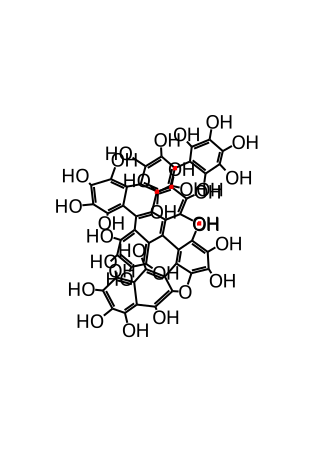 Oc1c(O)c(O)c(-c2c(O)c(O)c(-c3c(O)c(O)c(O)c(O)c3-c3c4c(O)c(O)c(O)c(O)c4c(-c4c(O)c(O)c(O)c5oc6c(O)c7c(O)c(O)c(O)c(O)c7c(O)c6c45)c4c(O)c(O)c(O)c(O)c34)c(O)c2O)c(O)c1O